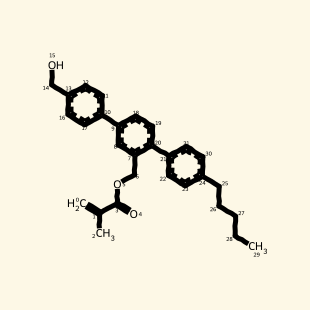 C=C(C)C(=O)OCc1cc(-c2ccc(CO)cc2)ccc1-c1ccc(CCCCC)cc1